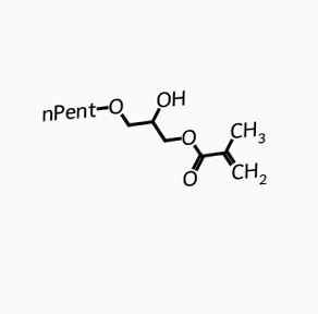 C=C(C)C(=O)OCC(O)COCCCCC